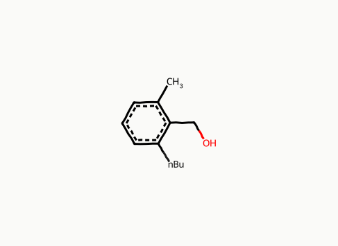 CCCCc1cccc(C)c1CO